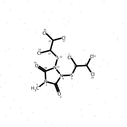 Cn1c(=O)n(SC(Cl)C(Cl)Cl)n(SC(Cl)C(Cl)Cl)c1=O